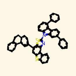 c1ccc(-c2ccc3c4c(-c5ccccc5)cccc4n(-c4nc5c(s4)c(-c4ccc6c(c4)-c4ccccc4CC6)cc4sc6ccccc6c45)c3c2)cc1